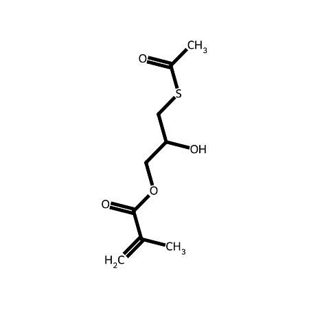 C=C(C)C(=O)OCC(O)CSC(C)=O